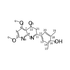 COc1cc(OC)c2c(n1)N=C(c1cc(C)c(O)c(C)c1)CC2=O